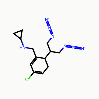 [N-]=[N+]=NCC(CN=[N+]=[N-])C1CC=C(Cl)C=C1CNC1CC1